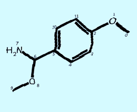 COc1ccc(C(N)OC)cc1